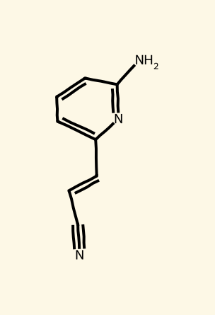 N#C/C=C/c1cccc(N)n1